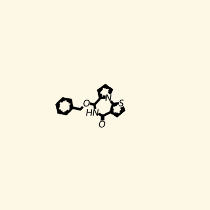 O=C1NC(OCc2ccccc2)c2cccn2-c2sccc21